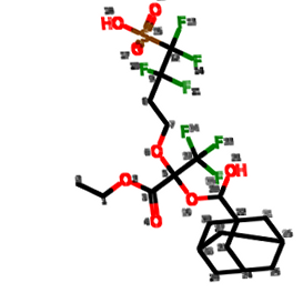 CCOC(=O)C(OCCC(F)(F)C(F)(F)S(=O)(=O)O)(OC(O)C12CC3CC(CC(C3)C1)C2)C(F)(F)F